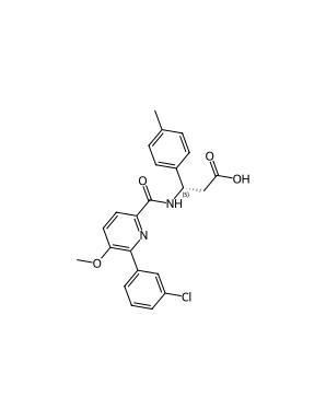 COc1ccc(C(=O)N[C@@H](CC(=O)O)c2ccc(C)cc2)nc1-c1cccc(Cl)c1